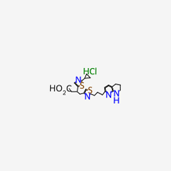 Cl.O=C(O)CC(Cc1csc(CCCc2ccc3c(n2)NCCC3)n1)c1cnc(C2CC2)s1